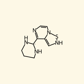 C1=CN2SNC=C2C([C]2NCCCN2)=N1